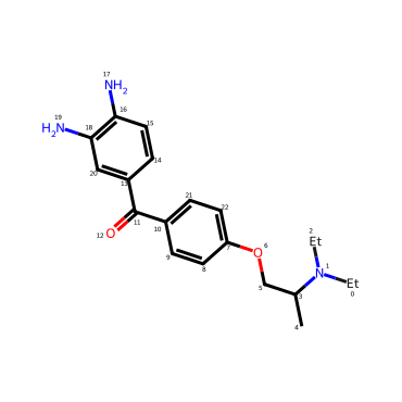 CCN(CC)C(C)COc1ccc(C(=O)c2ccc(N)c(N)c2)cc1